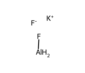 [F-].[F][AlH2].[K+]